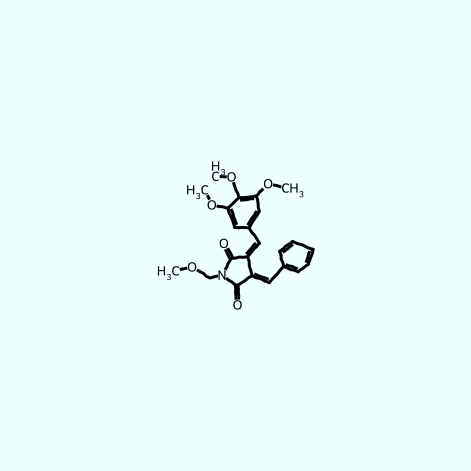 COCN1C(=O)C(=Cc2ccccc2)C(=Cc2cc(OC)c(OC)c(OC)c2)C1=O